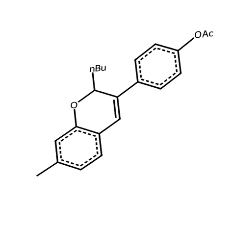 CCCCC1Oc2cc(C)ccc2C=C1c1ccc(OC(C)=O)cc1